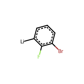 [Li][c]1cccc(Br)c1F